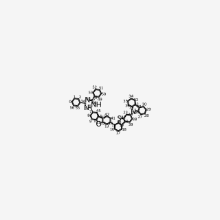 c1ccc(C2=NC(c3ccc4oc5cc(-c6cccc7c6sc6cc(-n8c9ccccc9c9ccccc98)ccc67)ccc5c4c3)NC(c3ccccc3)=N2)cc1